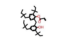 C=CC(=O)Oc1c(Cc2cc(CC(C)(C)CC)cc(C(C)(C)CC)c2O)cc(CC(C)(C)CC)cc1C(C)(C)CC